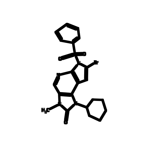 Cn1c(=O)n(C2CCCCC2)c2c3cc(Br)n(S(=O)(=O)c4ccccc4)c3ncc21